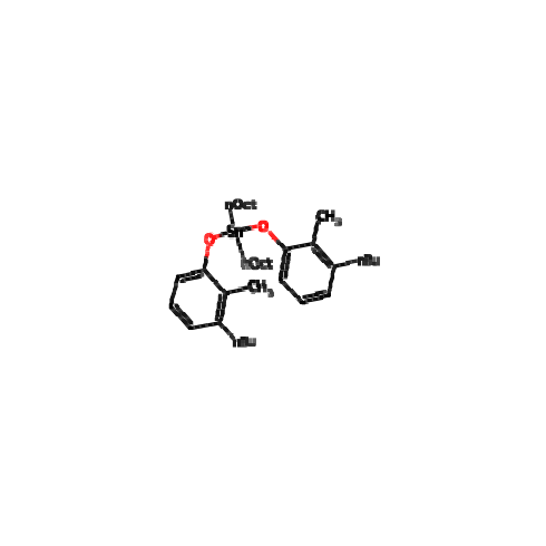 CCCCCCC[CH2][Sn]([CH2]CCCCCCC)([O]c1cccc(CCCC)c1C)[O]c1cccc(CCCC)c1C